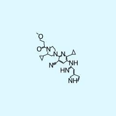 C=C/C(C=N)=C/C(=N)Nc1cc(C#N)c(N2CCN(C(=O)CCOC)C(C3CC3)C2)nc1C1CC1